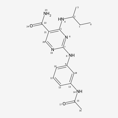 CCC(C)Nc1nc(Nc2cccc(NC(C)=O)c2)ncc1C(N)=O